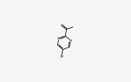 C=C(C)c1ncc(Br)cn1